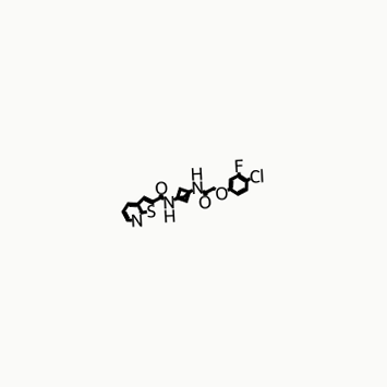 O=C(COc1ccc(Cl)c(F)c1)NC12CC(NC(=O)c3cc4cccnc4s3)(C1)C2